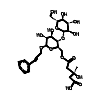 C[C@](O)(CC(=O)O)CC(=O)OC[C@H]1O[C@@H](OC/C=C/c2ccccc2)[C@H](O)[C@@H](O)[C@@H]1O[C@@H]1O[C@H](CO)[C@@H](O)[C@H](O)[C@H]1O